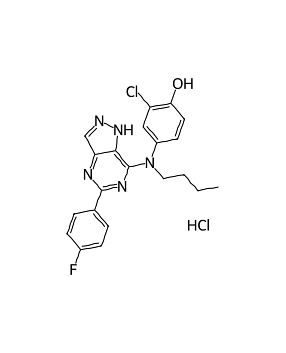 CCCCN(c1ccc(O)c(Cl)c1)c1nc(-c2ccc(F)cc2)nc2cn[nH]c12.Cl